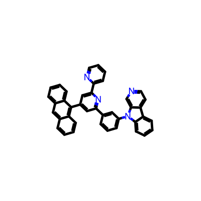 c1ccc(-c2cc(-c3c4ccccc4cc4ccccc34)cc(-c3cccc(-n4c5ccccc5c5ccncc54)c3)n2)nc1